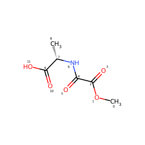 COC(=O)C(=O)N[C@@H](C)C(=O)O